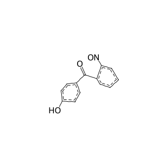 O=Nc1ccccc1C(=O)c1ccc(O)cc1